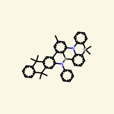 Cc1cc2c3c(c1)N1c4ccccc4[Si](C)(C)c4cccc(c41)B3N(c1ccccc1)c1cc3c(cc1-2)C(C)(C)c1ccccc1C3(C)C